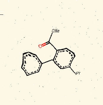 COC(=O)c1ccc(C(C)C)cc1-c1ccccc1